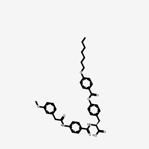 CCCCCCCOc1ccc(C(=O)Oc2ccc(C[C@H](NC(=O)c3ccc(NC(=O)Cc4cccc(OC)c4)cc3)C(=O)O)cc2)cc1